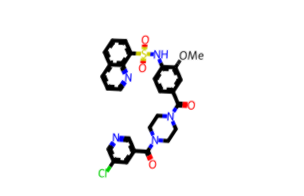 COc1cc(C(=O)N2CCN(C(=O)c3cncc(Cl)c3)CC2)ccc1NS(=O)(=O)c1cccc2cccnc12